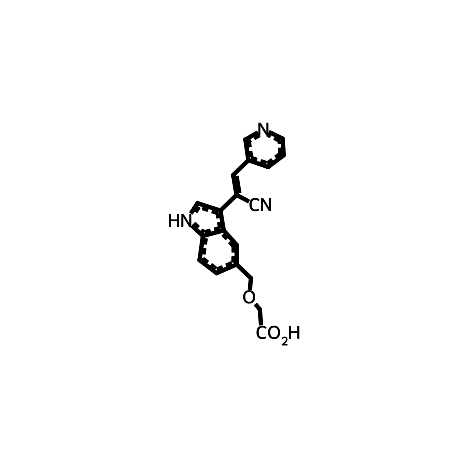 N#C/C(=C\c1cccnc1)c1c[nH]c2ccc(COCC(=O)O)cc12